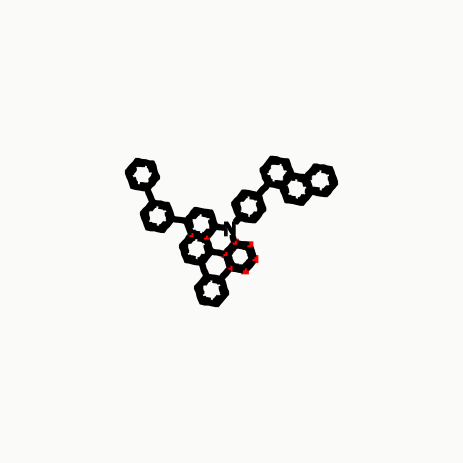 c1ccc(-c2cccc(-c3ccc(N(c4ccc(-c5cccc6c5ccc5ccccc56)cc4)c4ccccc4-c4ccccc4-c4ccccc4-c4ccccc4)cc3)c2)cc1